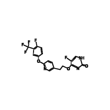 O=c1nc(OCCc2ccc(Oc3ccc(F)c(C(F)(F)F)c3)nc2)c(F)c[nH]1